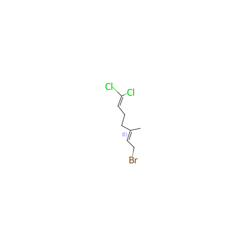 C/C(=C\CBr)CCC=C(Cl)Cl